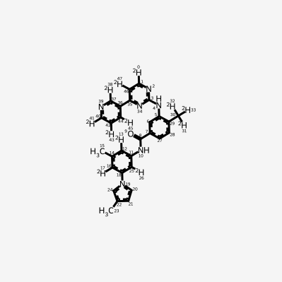 [2H]c1nc(Nc2cc(C(=O)Nc3c([2H])c(C)c([2H])c(-n4ccc(C)c4)c3[2H])ccc2C([2H])([2H])[2H])nc(-c2c([2H])nc([2H])c([2H])c2[2H])c1[2H]